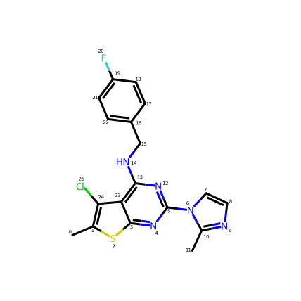 Cc1sc2nc(-n3ccnc3C)nc(NCc3ccc(F)cc3)c2c1Cl